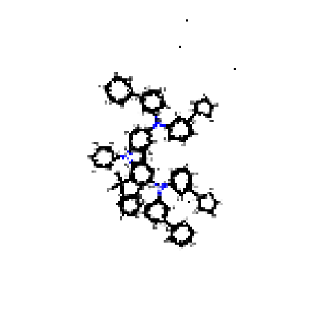 CC1(C)c2ccccc2-c2c(N(c3cccc(-c4ccccc4)c3)c3cccc(C4CCCC4)c3)cc3c4cc(N(c5cccc(-c6ccccc6)c5)c5cccc(C6CCCC6)c5)ccc4n(-c4ccccc4)c3c21